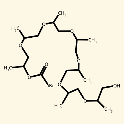 CCC(C)C(=O)OC(C)COC(C)COC(C)COC(C)COC(C)COC(C)COC(C)CO